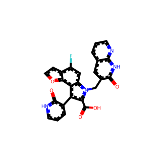 O=C(O)c1c(-c2ccc[nH]c2=O)c2c3occc3c(F)cc2n1Cc1cc2cccnc2[nH]c1=O